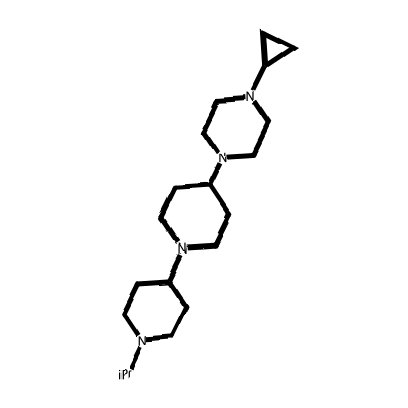 CC(C)N1CCC(N2CCC(N3CCN(C4CC4)CC3)CC2)CC1